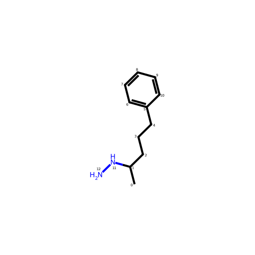 CC(CCCc1ccccc1)NN